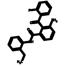 CCc1ccccc1NC(=O)c1cccc(N)c1C(=O)c1ccccc1F